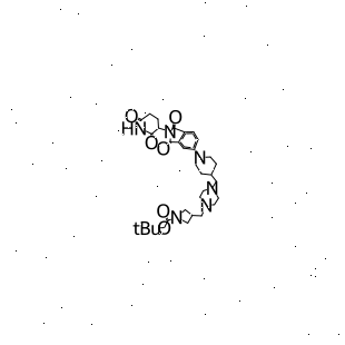 CC(C)(C)OC(=O)N1CC(CN2CCN(CC3CCN(c4ccc5c(c4)C(=O)N(C4CCC(=O)NC4=O)C5=O)CC3)CC2)C1